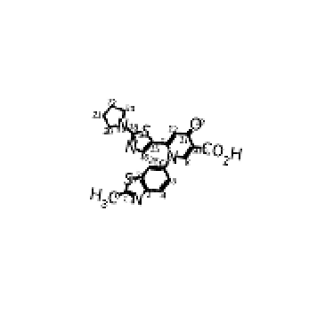 Cc1nc2ccc(-n3cc(C(=O)O)c(=O)cc3-c3cnc(N4CCCC4)s3)cc2s1